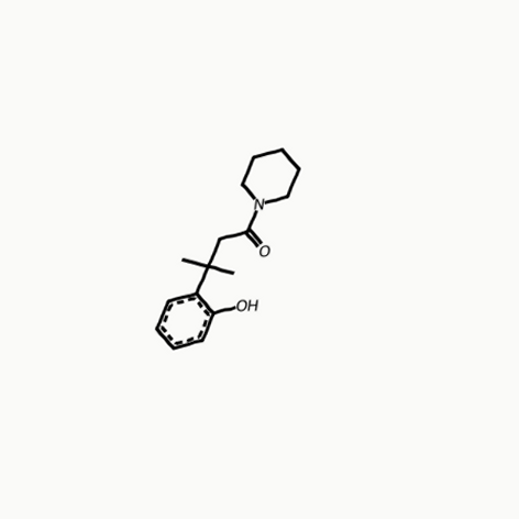 CC(C)(CC(=O)N1CCCCC1)c1ccccc1O